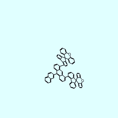 c1ccc2c(c1)Oc1ccccc1C21c2ccccc2-c2c(-c3cccc4c(-c5ccc6ccccc6c5)c5cccc(-c6cccc7c6-c6ccccc6C76c7ccccc7Oc7ccccc76)c5cc34)cccc21